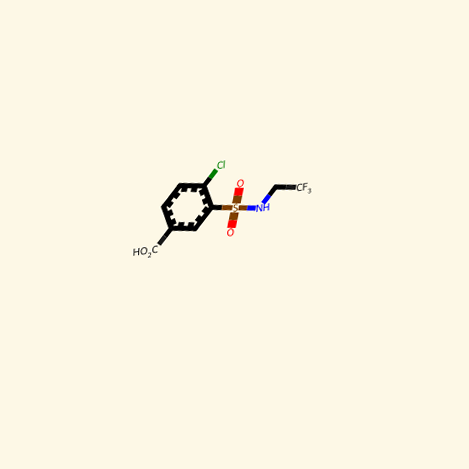 O=C(O)c1ccc(Cl)c(S(=O)(=O)NCC(F)(F)F)c1